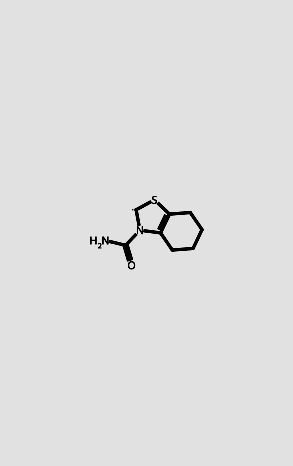 NC(=O)N1[CH]SC2=C1CCCC2